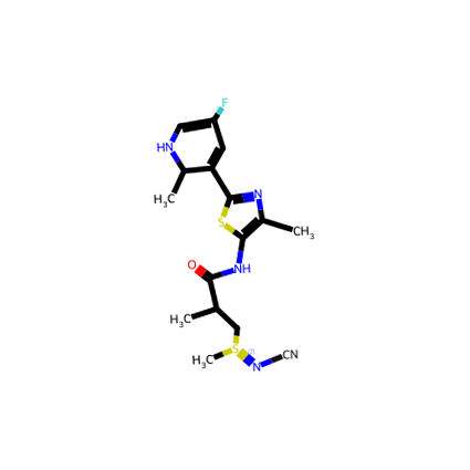 Cc1nc(C2=CC(F)=CNC2C)sc1NC(=O)C(C)C/S(C)=N\C#N